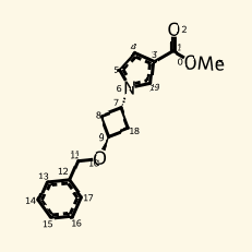 COC(=O)c1ccn([C@H]2C[C@H](OCc3ccccc3)C2)c1